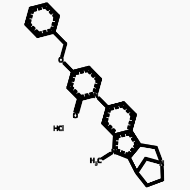 Cl.Cn1c2c(c3ccc(-n4ccc(OCc5ccccc5)cc4=O)cc31)CN1CCC2C1